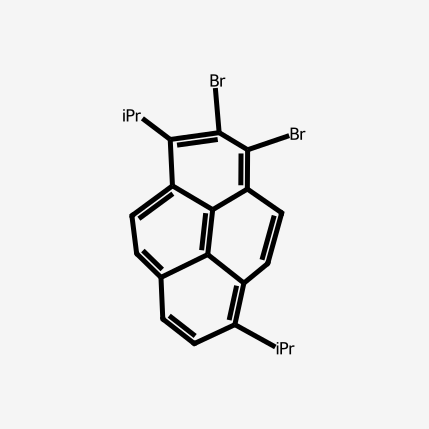 CC(C)c1ccc2ccc3c(C(C)C)c(Br)c(Br)c4ccc1c2c43